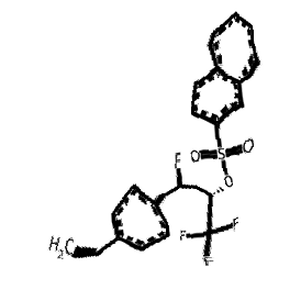 C=Cc1ccc(C(F)[C@H](OS(=O)(=O)c2ccc3ccccc3c2)C(F)(F)F)cc1